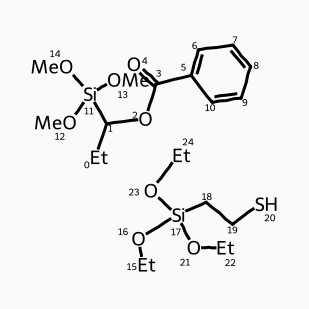 CCC(OC(=O)c1ccccc1)[Si](OC)(OC)OC.CCO[Si](CCS)(OCC)OCC